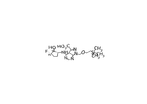 C[Si](C)(C)CCOCn1nc(C(=O)O)c2c(NC3CC[C@H](F)[C@H]3O)ncnc21